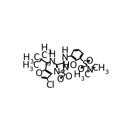 CN(C)S(=O)(=O)c1cccc(NC2=NS(=O)(=O)N=C2N[C@@H](c2cc(Cl)co2)C(C)(C)C)c1O